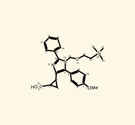 COc1ccc(-c2c(C3CC3C(=O)O)nc(-c3ccccc3)n2COCC[Si](C)(C)C)cc1